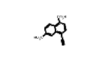 C#Cc1ccc(C(=O)O)c2ccc(C(=O)O)cc12